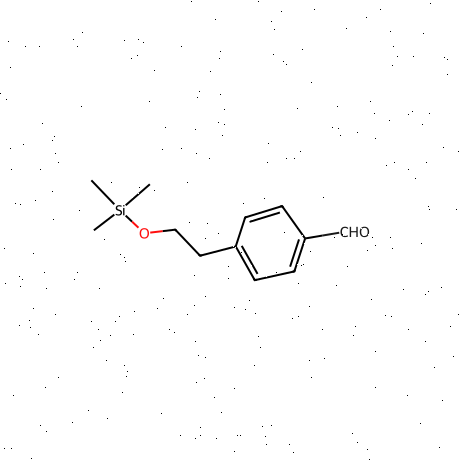 C[Si](C)(C)OCCc1ccc(C=O)cc1